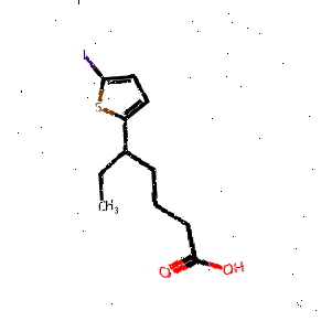 CCC(CCCC(=O)O)c1ccc(I)s1